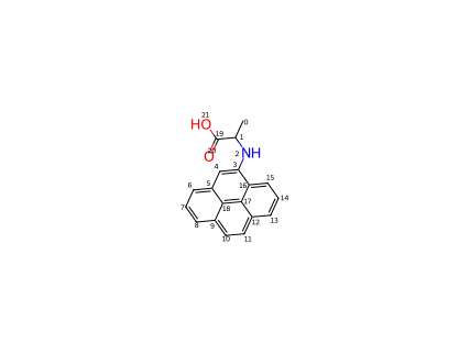 CC(Nc1cc2cccc3ccc4cccc1c4c32)C(=O)O